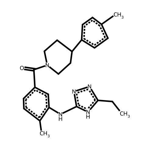 CCc1nnc(Nc2cc(C(=O)N3CCC(c4ccc(C)cc4)CC3)ccc2C)[nH]1